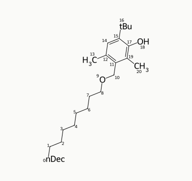 CCCCCCCCCCCCCCCCCCOCc1c(C)cc(C(C)(C)C)c(O)c1C